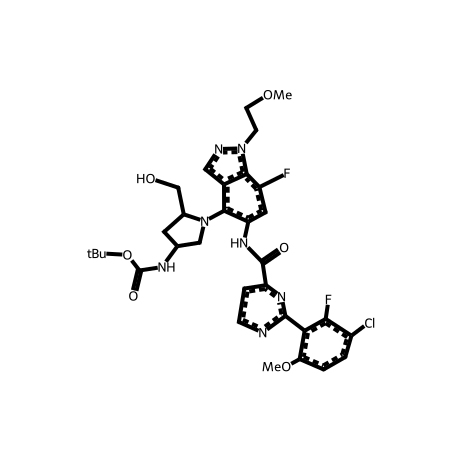 COCCn1ncc2c(N3CC(NC(=O)OC(C)(C)C)CC3CO)c(NC(=O)c3ccnc(-c4c(OC)ccc(Cl)c4F)n3)cc(F)c21